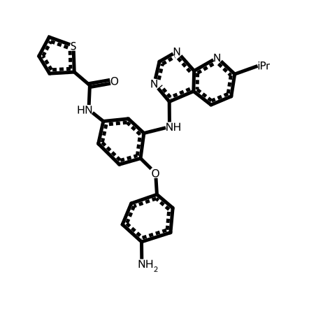 CC(C)c1ccc2c(Nc3cc(NC(=O)c4cccs4)ccc3Oc3ccc(N)cc3)ncnc2n1